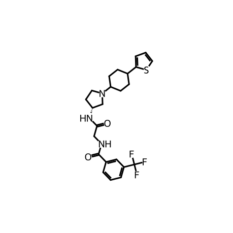 O=C(CNC(=O)c1cccc(C(F)(F)F)c1)N[C@@H]1CCN(C2CCC(c3cccs3)CC2)C1